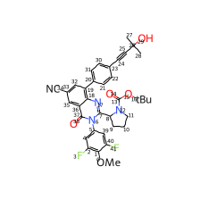 COc1c(F)cc(-n2c(C3CCCN3C(=O)OC(C)(C)C)nc3c(-c4ccc(C#CC(C)(C)O)cc4)cc(C#N)cc3c2=O)cc1F